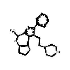 FC(F)(F)C1NC2=C(CCC2)c2c1nc(-c1ccccc1)n2CCC1CCNCC1